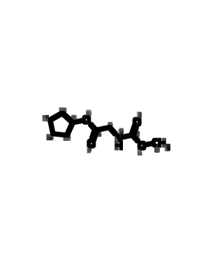 COC(=O)NCC(=O)OC1CCCC1